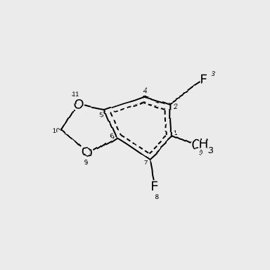 Cc1c(F)cc2c(c1F)OCO2